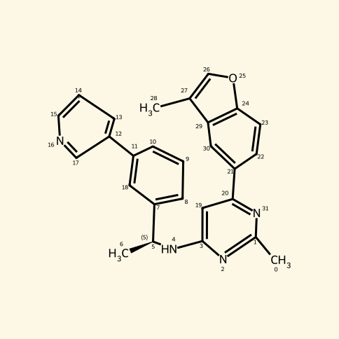 Cc1nc(N[C@@H](C)c2cccc(-c3c[c]cnc3)c2)cc(-c2ccc3occ(C)c3c2)n1